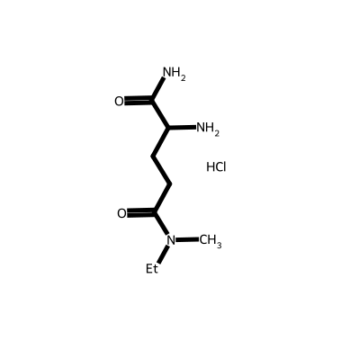 CCN(C)C(=O)CCC(N)C(N)=O.Cl